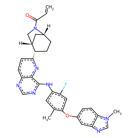 C=CC(=O)N1C[C@@H]2C[C@H]1CC[C@@H]2c1ccc2ncnc(Nc3cc(C)c(Oc4ccc5c(c4)ncn5C)cc3F)c2n1